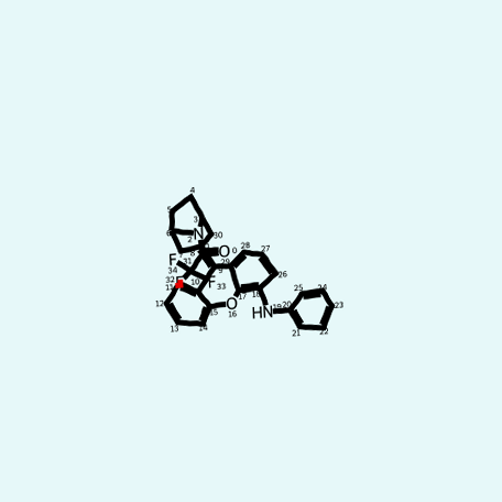 O=C(N1C2CCC1CC(=C1c3ccccc3Oc3c(Nc4ccccc4)cccc31)C2)C(F)(F)F